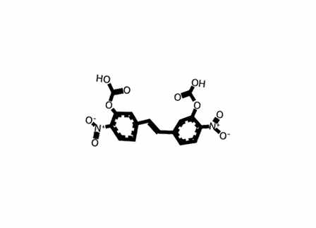 O=C(O)Oc1cc(C=Cc2ccc([N+](=O)[O-])c(OC(=O)O)c2)ccc1[N+](=O)[O-]